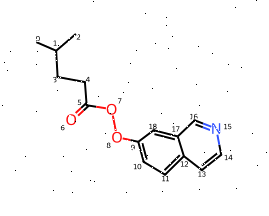 CC(C)CCC(=O)OOc1ccc2ccncc2c1